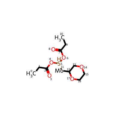 CCC(=O)O[SH](OC(=O)CC)[Mo][CH]1COCCO1